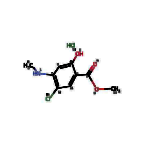 CNc1cc(O)c(C(=O)OC)cc1Cl.Cl